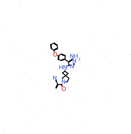 C=C(C#N)C(=O)N1CCC2(CC(Nc3ncnc(N)c3-c3ccc(Oc4ccccc4)cc3)C2)C1